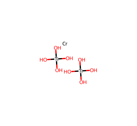 [Cr].[OH][Ti]([OH])([OH])[OH].[OH][Ti]([OH])([OH])[OH]